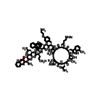 CC(=O)NCCCC[C@@H]1NC(=O)[C@H](Cc2c[nH]c3c(C)cccc23)NC(=O)[C@H]([C@@H](C)O)NC(=O)[C@H](CC(N)=O)NC(=O)[C@@H](NC(C)=O)C(C)(C)SSC(C)(C)[C@@H](C(=O)N[C@@H](Cc2ccc(OCCN)cc2)C(=O)N[C@@H](Cc2ccc3ccccc3c2)C(=O)NC2(C(=O)N[C@@H](CCC(=O)O)C(=O)N[C@@H](CC(N)=O)C(=O)N[C@@H](Cc3cnc4ccccc4c3)C(=O)N(C)CC(N)=O)CCOCC2)NC1=O